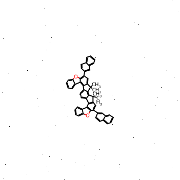 CC1(C)c2cc(-c3ccc4ccccc4c3)c3oc4ccccc4c3c2-c2ccc3c(c21)C(C)(C)c1cc(-c2ccc4ccccc4c2)c2oc4ccccc4c2c1-3